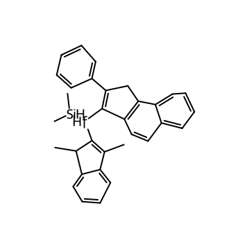 CC1=[C]([Hf]([C]2=C(c3ccccc3)Cc3c2ccc2ccccc32)[SiH](C)C)C(C)c2ccccc21